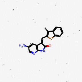 Cc1c(C=C2C(=O)Nc3ncc(N)cc32)sc2ccccc12